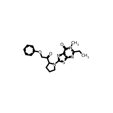 CCc1nc2sc(N3CCCC3C(=O)COc3ccccc3)nc2c(=O)n1C